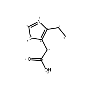 CCc1n[c]sc1CC(=O)O